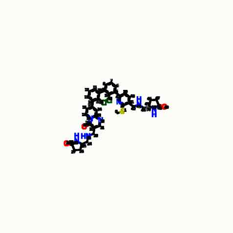 CSc1nc(-c2cccc(-c3cccc(-c4ccn5c(=O)c(CNC[C@H]6CCC(=O)N6)cnc5c4)c3Cl)c2Cl)ccc1CNC[C@@H]1CCC(=O)N1